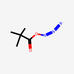 CC(C)(C)C(=O)ON=[N+]=[N-]